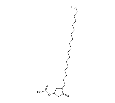 CCCCCCCCCCCCCCCCCCN1CC(OC(=O)O)CC1=O